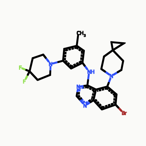 Cc1cc(Nc2ncnc3cc(Br)cc(N4CCC5(CC4)CC5)c23)cc(N2CCC(F)(F)CC2)c1